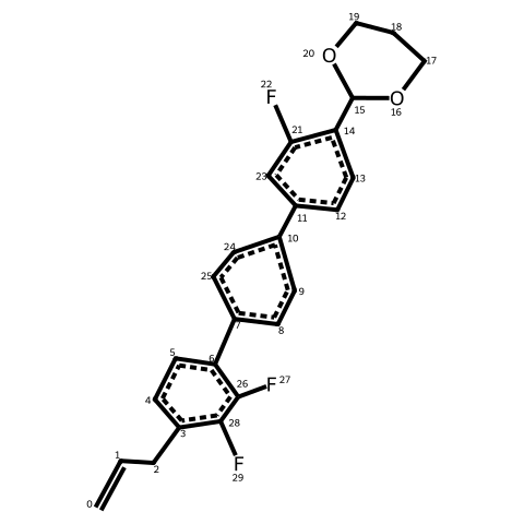 C=CCc1ccc(-c2ccc(-c3ccc(C4OCCCO4)c(F)c3)cc2)c(F)c1F